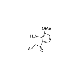 COc1cccc(C(=O)CC(C)=O)c1N